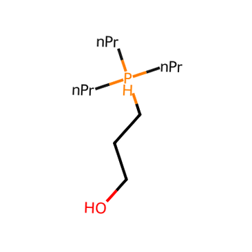 CCC[PH](CCC)(CCC)CCCO